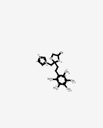 CCC1COC(CCc2c(C)c(C)c(C)c(C)c2C)(Cn2ccnc2)O1